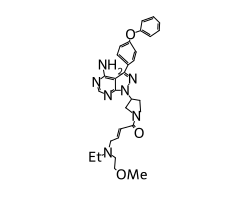 CCN(CC=CC(=O)N1CCC(n2nc(-c3ccc(Oc4ccccc4)cc3)c3c(N)ncnc32)C1)CCOC